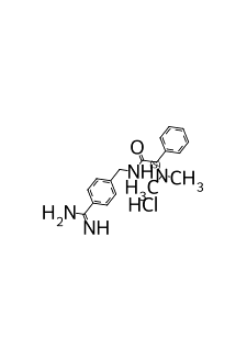 CN(C)[C@H](C(=O)NCc1ccc(C(=N)N)cc1)c1ccccc1.Cl